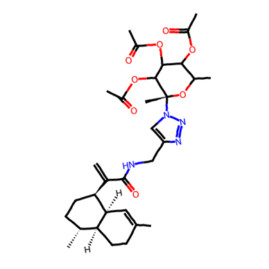 C=C(C(=O)NCc1cn([C@@]2(C)OC(C)C(OC(C)=O)C(OC(C)=O)C2OC(C)=O)nn1)[C@@H]1CC[C@@H](C)[C@@H]2CCC(C)=C[C@@H]21